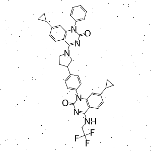 O=c1nc(NCC(F)(F)F)c2ccc(C3CC3)cc2n1-c1ccc(C2CCN(c3nc(=O)n(-c4ccccc4)c4cc(C5CC5)ccc34)C2)cc1